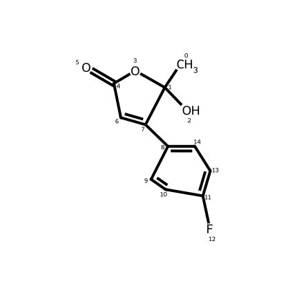 CC1(O)OC(=O)C=C1c1ccc(F)cc1